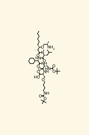 CCCCCC[C@@H](OC[C@@H](C)N)[C@@H](C)C(=O)N(C)[C@@H](CC(C)C)C(=O)N[C@H](C(=O)N[C@@H](CNC(=O)OC(C)(C)C)C(=O)N[C@@H](COCCCCNC(=O)OC(C)(C)C)C(=O)O)C1CCCCC1